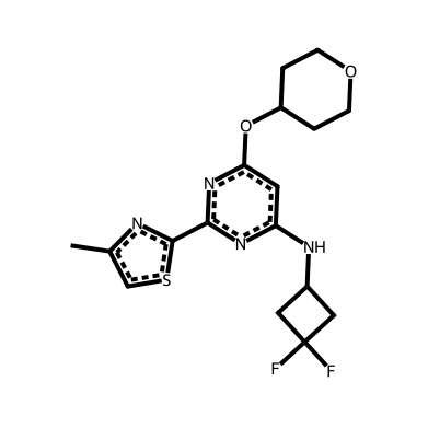 Cc1csc(-c2nc(NC3CC(F)(F)C3)cc(OC3CCOCC3)n2)n1